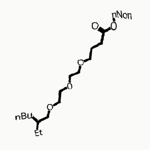 CCCCCCCCCOC(=O)CCCOCCOCCOCC(CC)CCCC